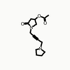 CC(=O)OC1CC(=O)N(CC#CCN2CCCC2)C1